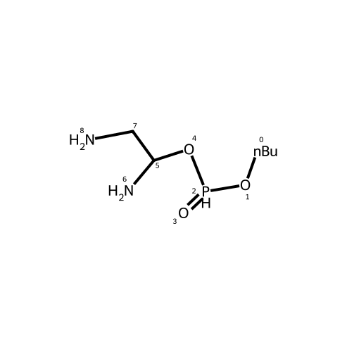 CCCCO[PH](=O)OC(N)CN